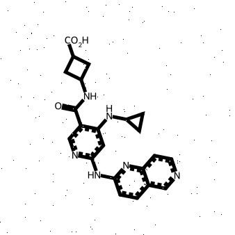 O=C(NC1CC(C(=O)O)C1)c1cnc(Nc2ccc3cnccc3n2)cc1NC1CC1